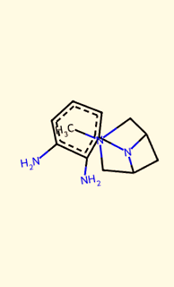 CN1CC2CC(C1)N2c1cccc(N)c1N